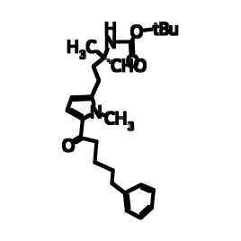 Cn1c(CC[C@](C)(C=O)NC(=O)OC(C)(C)C)ccc1C(=O)CCCCc1ccccc1